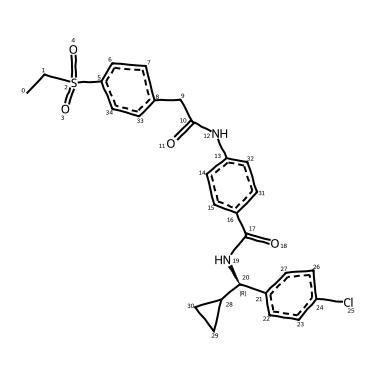 CCS(=O)(=O)c1ccc(CC(=O)Nc2ccc(C(=O)N[C@@H](c3ccc(Cl)cc3)C3CC3)cc2)cc1